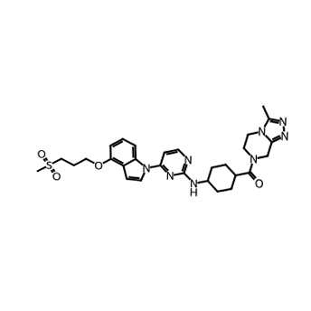 Cc1nnc2n1CCN(C(=O)C1CCC(Nc3nccc(-n4ccc5c(OCCCS(C)(=O)=O)cccc54)n3)CC1)C2